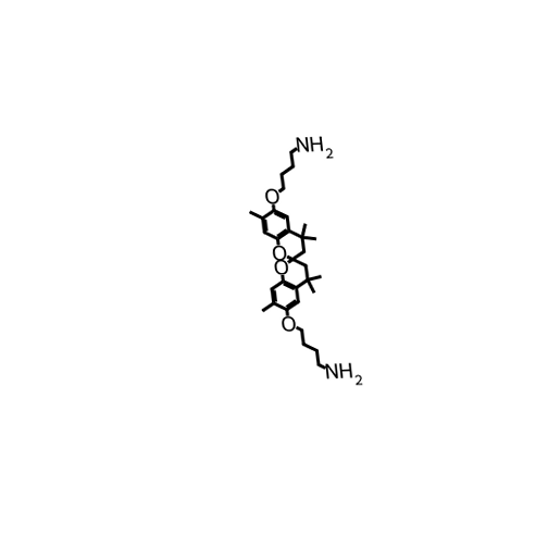 Cc1cc2c(cc1OCCCCN)C(C)(C)CC1(CC(C)(C)c3cc(OCCCCN)c(C)cc3O1)O2